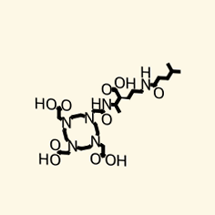 CC(C)CCC(=O)NCCC[C@H](C(=O)O)C(C)NC(=O)CN1CCN(CC(=O)O)CCN(CC(=O)O)CCN(CC(=O)O)CC1